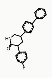 O=C1NCC(c2ccc(-c3ccccc3)cc2)CC1c1ccc(F)cc1